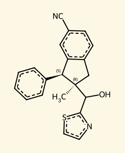 C[C@@]1(C(O)c2nccs2)Cc2ccc(C#N)cc2[C@@H]1c1ccccc1